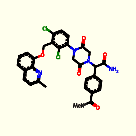 CNC(=O)c1ccc(C(C(N)=O)N2CC(=O)N(c3ccc(Cl)c(COc4cccc5ccc(C)nc45)c3Cl)CC2=O)cc1